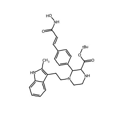 Cc1[nH]c2ccccc2c1CCN1CCNC(C(=O)OC(C)(C)C)C1c1ccc(C=CC(=O)NO)cc1